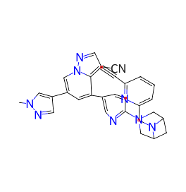 C#Cc1cccc(CN2C3CC2CN(c2ccc(-c4cc(-c5cnn(C)c5)cn5ncc(C#N)c45)cn2)C3)n1